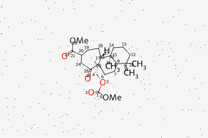 COC(=O)OC[C@@]12CCC3C(C)(C)CCC[C@]3(C)[C@H]1CCC(C(=O)OC)CC2=O